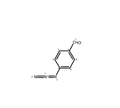 [N-]=[N+]=Nc1ccc([C]=O)cc1